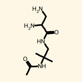 CC(=O)NC(C)(C)CNC(=O)C(N)CN